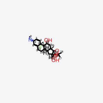 C/N=C1\C=C[C@@]2(C)C(=C1)CC[C@H]1[C@@H]3C[C@H]4OC(C)(C)O[C@@]4(C(=O)CO)[C@@]3(C)C[C@H](O)[C@@]12F